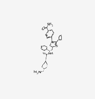 NCC1CCC(C(=O)NC(Cc2cc(-c3ccc(C(N)=O)cc3)c(Cl)s2)c2ccccc2)CC1